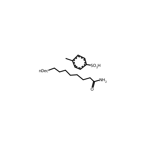 CCCCCCCCCCCCCCCCCC(N)=O.Cc1ccc(S(=O)(=O)O)cc1